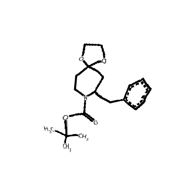 CC(C)(C)OC(=O)N1CCC2(CC1Cc1ccccc1)OCCO2